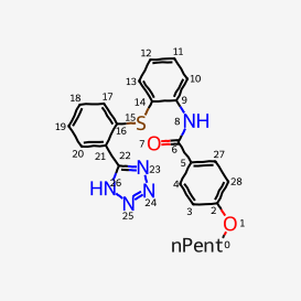 CCCCCOc1ccc(C(=O)Nc2ccccc2Sc2ccccc2-c2nnn[nH]2)cc1